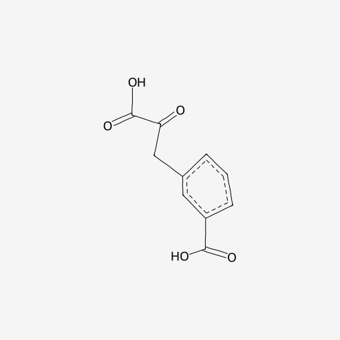 O=C(O)C(=O)Cc1cccc(C(=O)O)c1